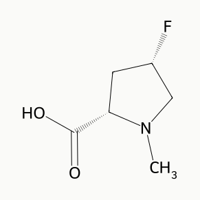 CN1C[C@@H](F)C[C@H]1C(=O)O